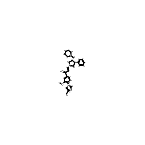 COc1cc(C(=O)/C=C/N2C[C@H](CN3CCCCC3)[C@@H](c3ccccc3)C2)ccc1-n1cnc(C)c1